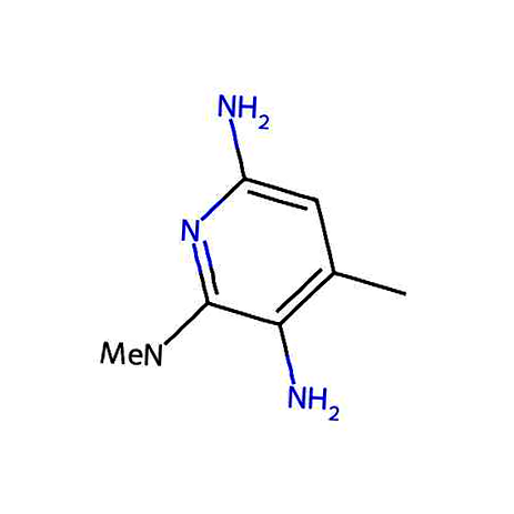 CNc1nc(N)cc(C)c1N